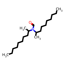 CCCCCCCCC(C)N(C=O)C(C)CCCCCCCC